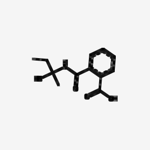 CCC(C)(S)NC(=O)c1ccccc1C(=O)O